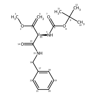 C=C(OC)[C@@H](NC(=O)OC(C)(C)C)C(=O)NCc1ccccc1